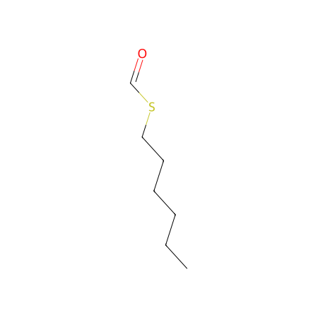 CCCCCCSC=O